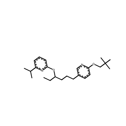 CCC(CCCc1ccc(OCC(C)(C)C)nc1)Oc1cccc(C(C)C)n1